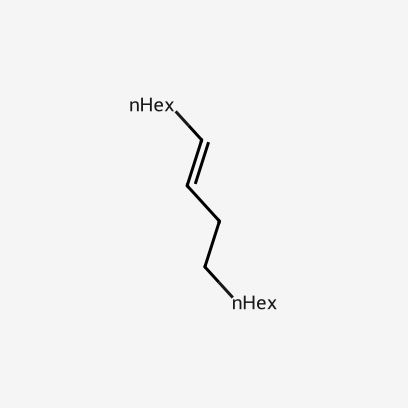 C[CH]CCCCCC/C=C/CCCCCC